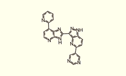 c1ccc(-c2ccnc3[nH]c(-c4n[nH]c5ccc(-c6cncnc6)nc45)nc23)nc1